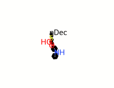 CCCCCCCCCCCCSCC(O)COc1ccc(Nc2ccccc2)cc1